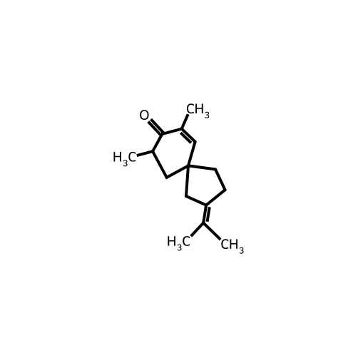 CC1=CC2(CCC(=C(C)C)C2)CC(C)C1=O